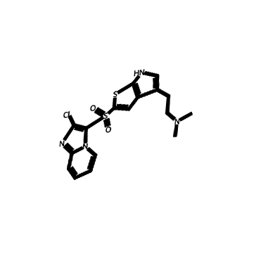 CN(C)CCc1c[nH]c2sc(S(=O)(=O)c3c(Cl)nc4ccccn34)cc12